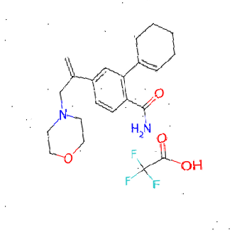 C=C(CN1CCOCC1)c1ccc(C(N)=O)c(C2=CCCCC2)c1.O=C(O)C(F)(F)F